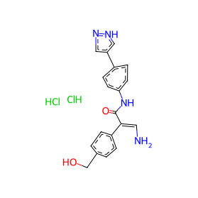 Cl.Cl.NC=C(C(=O)Nc1ccc(-c2cn[nH]c2)cc1)c1ccc(CO)cc1